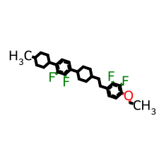 CCOc1ccc(CCC2CCC(c3ccc(C4CCC(C)CC4)c(F)c3F)CC2)c(F)c1F